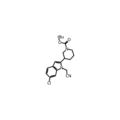 CC(C)(C)OC(=O)N1CCCC(c2cc3ccc(Cl)cc3n2CC#N)C1